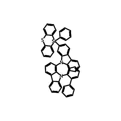 c1ccc(-c2ccccc2-n2c3ccccc3c3cccc(-n4c5ccccc5c5ccc([Si]6(c7ccccc7)c7ccccc7Sc7ccccc76)cc54)c32)cc1